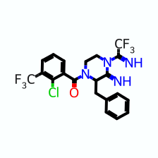 N=C1C(Cc2ccccc2)N(C(=O)c2cccc(C(F)(F)F)c2Cl)CCN1C(=N)C(F)(F)F